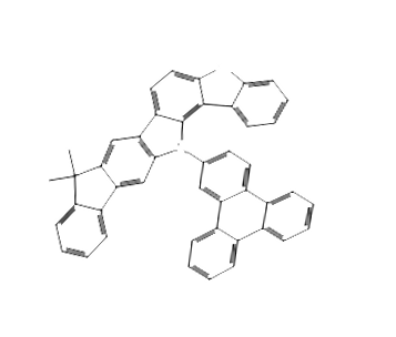 CC1(C)c2ccccc2-c2cc3c(cc21)c1ccc2oc4ccccc4c2c1n3-c1ccc2c3ccccc3c3ccccc3c2c1